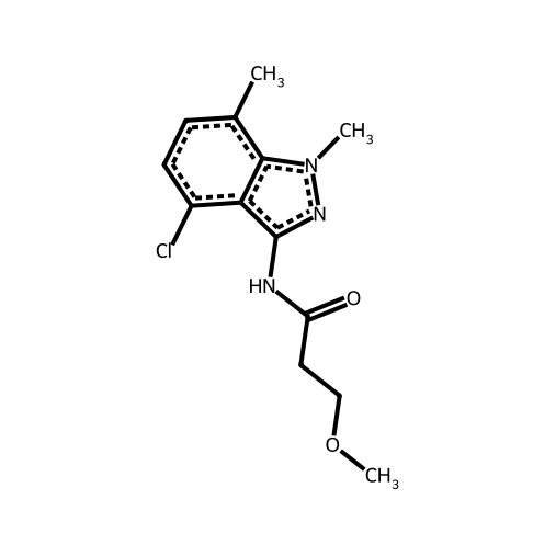 COCCC(=O)Nc1nn(C)c2c(C)ccc(Cl)c12